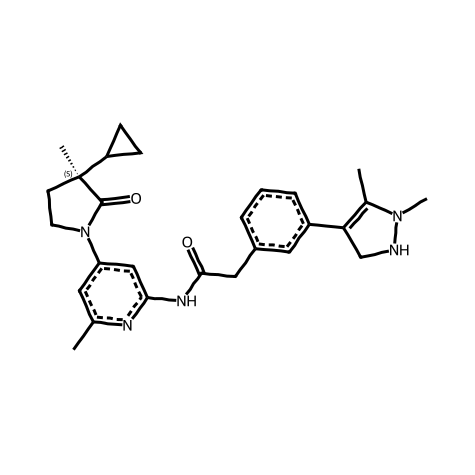 CC1=C(c2cccc(CC(=O)Nc3cc(N4CC[C@@](C)(C5CC5)C4=O)cc(C)n3)c2)CNN1C